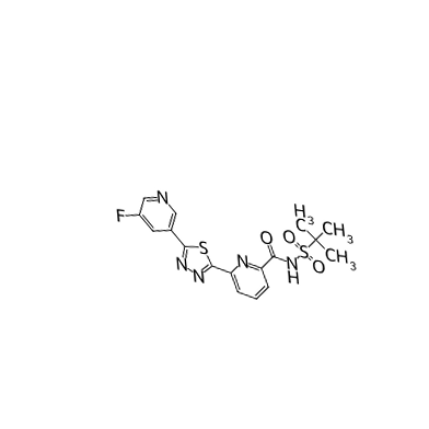 CC(C)(C)S(=O)(=O)NC(=O)c1cccc(-c2nnc(-c3cncc(F)c3)s2)n1